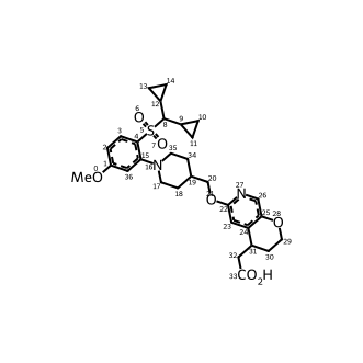 COc1ccc(S(=O)(=O)C(C2CC2)C2CC2)c(N2CCC(COc3cc4c(cn3)OCCC4CC(=O)O)CC2)c1